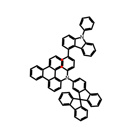 c1ccc(-n2c3ccccc3c3c(-c4ccc(N(c5ccc6c(c5)C5(c7ccccc7-c7ccccc75)c5ccccc5-6)c5cccc6c7ccccc7c7ccccc7c56)cc4)cccc32)cc1